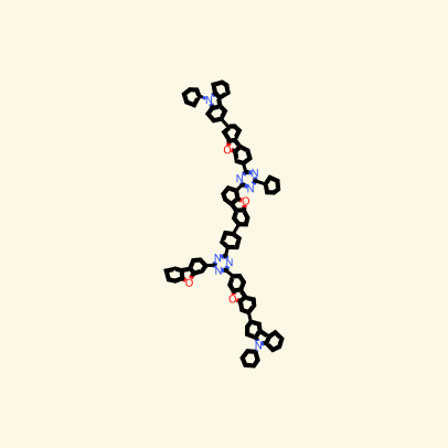 c1ccc(-c2nc(-c3ccc4c(c3)oc3cc(-c5ccc6c(c5)c5ccccc5n6-c5ccccc5)ccc34)nc(-c3cccc4c3oc3ccc(-c5ccc(-c6nc(-c7ccc8c(c7)oc7ccccc78)nc(-c7ccc8c(c7)oc7cc(-c9ccc%10c(c9)c9ccccc9n%10-c9ccccc9)ccc78)n6)cc5)cc34)n2)cc1